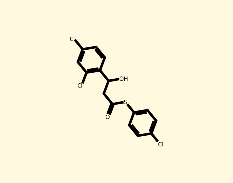 O=C(CC(O)c1ccc(Cl)cc1Cl)Sc1ccc(Cl)cc1